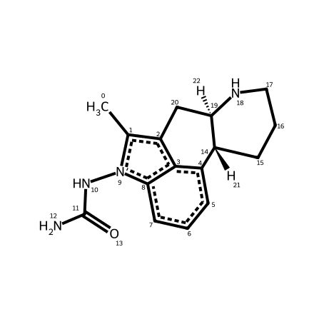 Cc1c2c3c(cccc3n1NC(N)=O)[C@H]1CCCN[C@@H]1C2